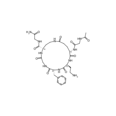 CC(=O)NCC(=O)N[C@H]1CCC(=O)NCC[C@@H](C(=O)NCC(N)=O)NC(=O)CNC(=O)[C@@H](Cc2ccccc2)NC(=O)[C@H](CCN)NC1=O